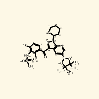 CC1(C)OB(c2cnc3c(c2)c(C(=O)c2ccc(F)c(NS(C)(=O)=O)c2F)nn3C2CCCCO2)OC1(C)C